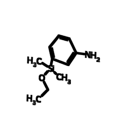 CCO[Si](C)(C)c1cccc(N)c1